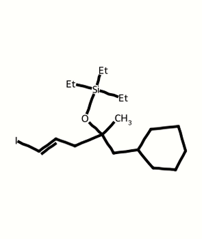 CC[Si](CC)(CC)OC(C)(CC=CI)CC1CCCCC1